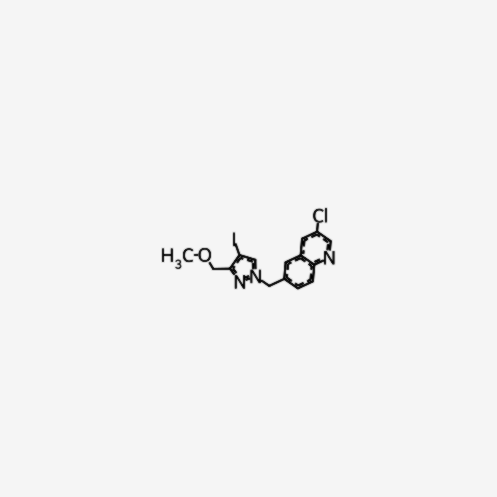 COCc1nn(Cc2ccc3ncc(Cl)cc3c2)cc1I